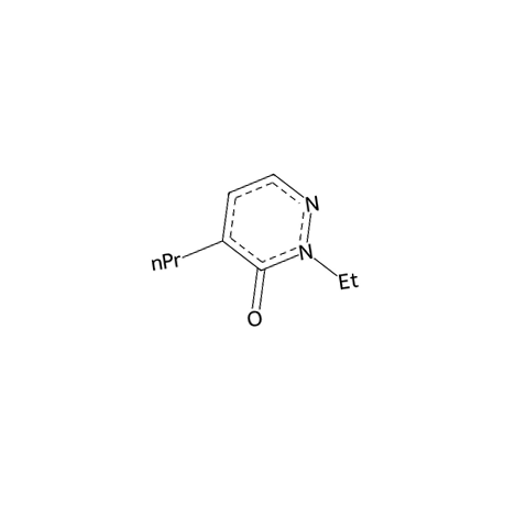 CCCc1ccnn(CC)c1=O